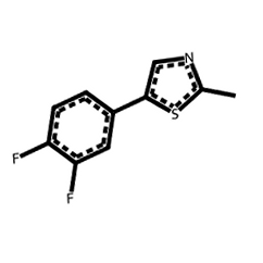 Cc1ncc(-c2ccc(F)c(F)c2)s1